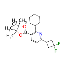 CC1(C)OB(c2ccc(C3CC(F)(F)C3)nc2C2CCCCC2)OC1(C)C